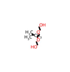 C=C(C)C.OCCOCCOCCO